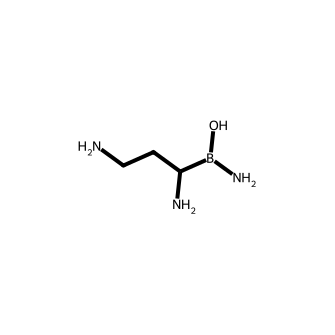 NCCC(N)B(N)O